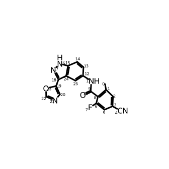 Cc1cc(C#N)cc(F)c1C(=O)Nc1ccc2[nH]nc(-c3cnco3)c2c1